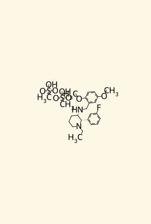 CCN1CCC[C@H](NCc2cc(OC)ccc2OC)[C@@H]1c1cccc(F)c1.CS(=O)(=O)O.CS(=O)(=O)O